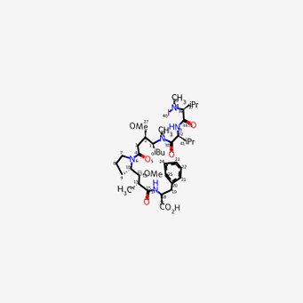 CCC(C)[C@@H]([C@@H](CC(=O)N1CCC[C@H]1[C@H](OC)[C@@H](C)C(=O)NC(Cc1ccccc1)C(=O)O)OC)N(C)C(=O)[C@@H](NC(=O)[C@H](C(C)C)N(C)I)C(C)C